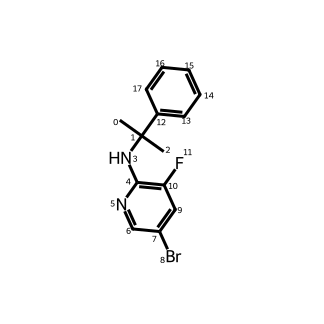 CC(C)(Nc1ncc(Br)cc1F)c1ccccc1